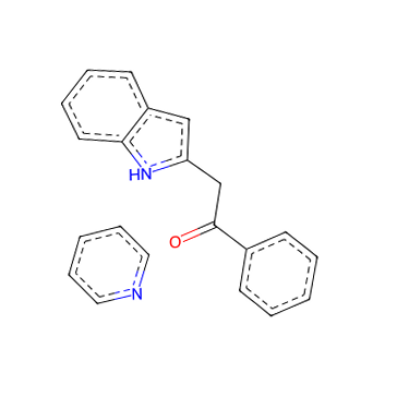 O=C(Cc1cc2ccccc2[nH]1)c1ccccc1.c1ccncc1